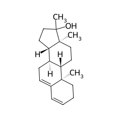 CC1(O)CC[C@H]2[C@@H]3CC=C4C=CCC[C@]4(C)[C@H]3CC[C@@]21C